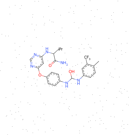 Cc1ccc(NC(O)Nc2ccc(Oc3cc(NC(C(N)=O)C(C)C)ncn3)cc2)cc1C(F)(F)F